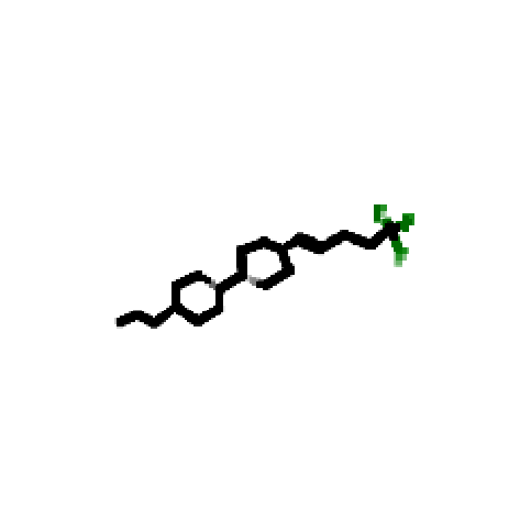 CCC[C@H]1CC[C@H]([C@H]2CC[C@H](C=CCCC(F)(F)F)CC2)CC1